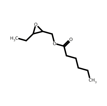 CCCCCC(=O)OCC1OC1CC